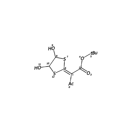 CC(=O)C(C(=O)OC(C)(C)C)=C1SC(O)C(O)S1